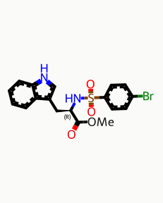 COC(=O)[C@@H](Cc1c[nH]c2ccccc12)NS(=O)(=O)c1ccc(Br)cc1